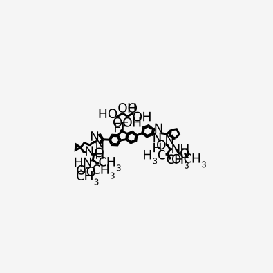 COC(=O)NC(C(=O)N1CC2(CC2)CC1c1ncc(-c2ccc3c(c2)C(F)(F)c2cc(-c4ccc5nc(C6C7CCC(C7)N6C(=O)C(NC(=O)OC)C(C)C)[nH]c5c4)ccc2-3)[nH]1)C(C)C.O=C(O)C(O)C(O)C(=O)O